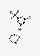 C[C@@H]1CCC[C@H](CNc2cc(Cl)nc(C(F)(F)F)n2)O1